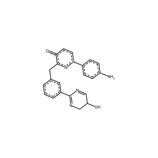 Nc1ccc(-n2ccc(=O)c(Cc3cccc(C4=NCC(O)C=N4)c3)n2)cc1